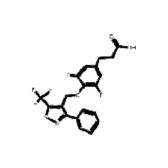 O=C(O)CCc1cc(F)c(OCc2c(-c3ccccc3)nsc2C(F)(F)F)c(F)c1